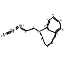 [N-]=[N+]=NCCN1CCCc2ccccc21